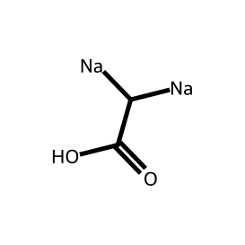 O=C(O)[CH]([Na])[Na]